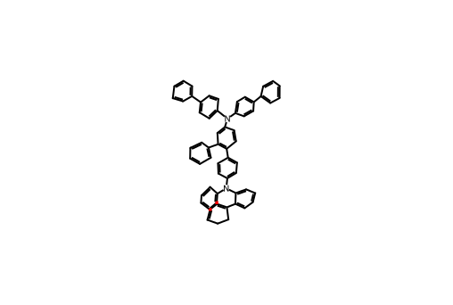 C1=CCCC(c2ccccc2N(c2ccccc2)c2ccc(-c3ccc(N(c4ccc(-c5ccccc5)cc4)c4ccc(-c5ccccc5)cc4)cc3-c3ccccc3)cc2)=C1